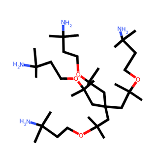 CC(C)(N)CCOC(C)(C)CC(CC(C)(C)OCCC(C)(C)N)(CC(C)(C)OCCC(C)(C)N)CC(C)(C)OCCC(C)(C)N